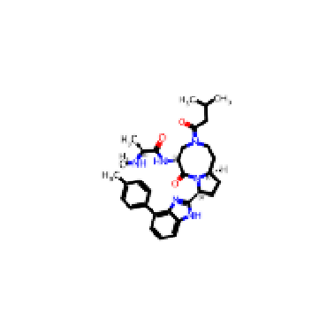 CN[C@@H](C)C(=O)N[C@H]1CN(C(=O)CC(C)C)CC[C@H]2CC[C@@H](c3nc4c(-c5ccc(C)cc5)cccc4[nH]3)N2C1=O